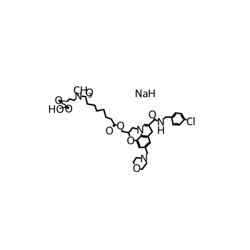 CN(CCS(=O)(=O)O)C(=O)CCCCCCC(=O)OCC1CN2C=C(C(=O)NCc3ccc(Cl)cc3)Cc3cc(CN4CCOCC4)cc(c32)O1.[NaH]